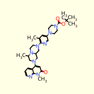 Cc1cc(N2CCN(C(=O)OC(C)(C)C)CC2)cnc1N1CCN2C(C)CN(c3cc(=O)n(C)c4ncccc34)CC2C1